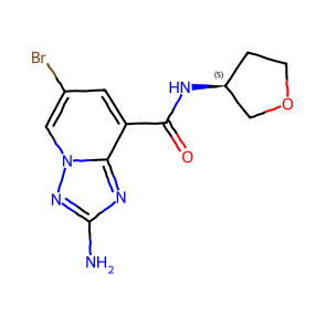 Nc1nc2c(C(=O)N[C@H]3CCOC3)cc(Br)cn2n1